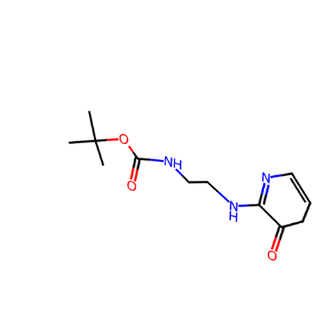 CC(C)(C)OC(=O)NCCNC1=NC=CCC1=O